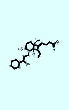 CCC1C(=CCCC(=O)O)[C@@]2(OC)CC[C@@H](O)[C@H](CCC(O)C3CCCCC3)[C@@H]12